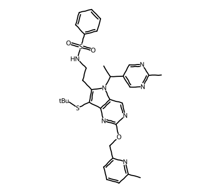 Cc1cccc(COc2ncc3c(n2)c(SC(C)(C)C)c(CCNS(=O)(=O)c2ccccc2)n3C(C)c2cnc(C)nc2)n1